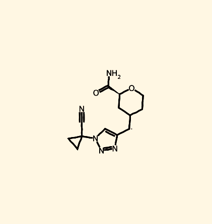 N#CC1(n2cc([CH]C3CCO[C@H](C(N)=O)C3)nn2)CC1